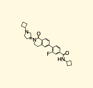 O=C(NC1CCC1)c1ccc(-c2ccc3c(c2)CCN([C@@H]2CCN(C4CCC4)C2)C3=O)c(F)c1